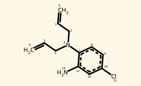 C=CCN(CC=C)c1ccc(Cl)cc1N